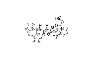 CC(C)(C)OC(=O)N1CCC[C@]1(C)/C=C/S(=O)(=O)NC(=O)Nc1c2c(cc3c1CCC3)CCC2